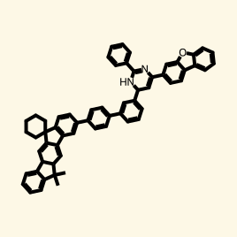 CC1(C)c2ccccc2C2C=C3C(=CC21)c1cc(-c2ccc(-c4cccc(C5C=C(c6ccc7c(c6)oc6ccccc67)N=C(c6ccccc6)N5)c4)cc2)ccc1C31CCCCC1